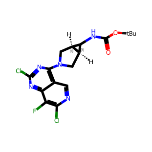 CC(C)(C)OC(=O)NC1[C@H]2CN(c3nc(Cl)nc4c(F)c(Cl)ncc34)C[C@@H]12